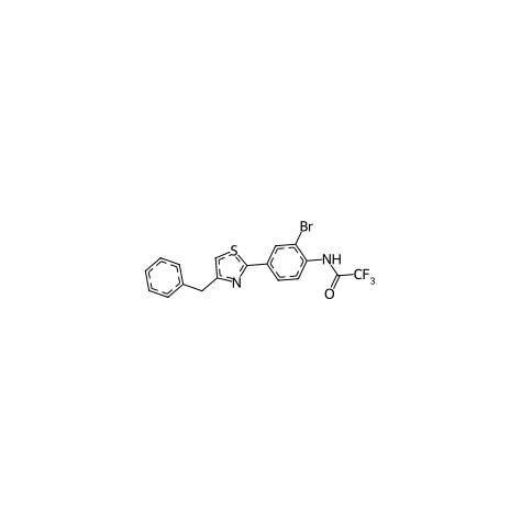 O=C(Nc1ccc(-c2nc(Cc3ccccc3)cs2)cc1Br)C(F)(F)F